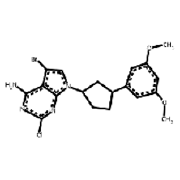 COc1cc(OC)cc(C2CCC(n3cc(Br)c4c(N)nc(Cl)nc43)C2)c1